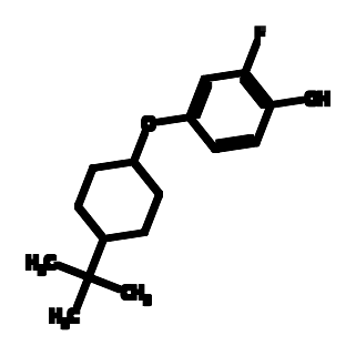 CC(C)(C)C1CCC(Oc2ccc(O)c(F)c2)CC1